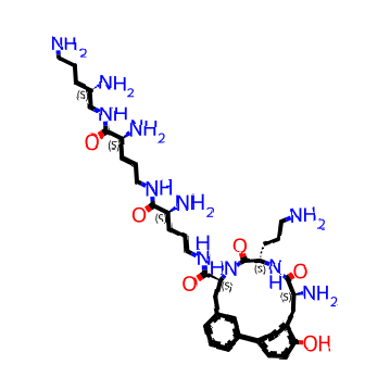 NCCC[C@H](N)CNC(=O)[C@@H](N)CCCNC(=O)[C@@H](N)CCCNC(=O)[C@@H]1Cc2cccc(c2)-c2ccc(O)c(c2)C[C@H](N)C(=O)N[C@@H](CCCN)C(=O)N1